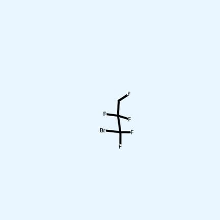 FCC(F)(F)C(F)(F)Br